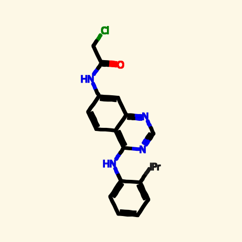 CC(C)c1ccccc1Nc1ncnc2cc(NC(=O)CCl)ccc12